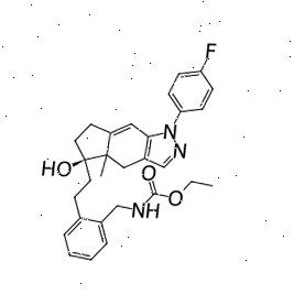 CCOC(=O)NCc1ccccc1CC[C@]1(O)CCC2=Cc3c(cnn3-c3ccc(F)cc3)CC21C